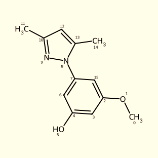 COc1cc(O)cc(-n2nc(C)cc2C)c1